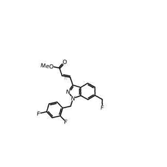 COC(=O)/C=C/c1nn(Cc2ccc(F)cc2F)c2cc(CF)ccc12